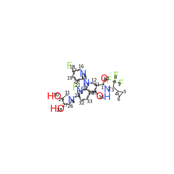 O=C(N[C@@H](C1CC1)C(F)(F)F)c1cn(-c2ncc(F)cc2F)c2nc(N3C[C@@H](O)[C@H](O)C3)ccc2c1=O